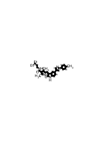 CCN(CC)CCNC(=O)c1c(C)[nH]c(/C=C2\C(=O)Nc3ccc(-c4cnn(-c5ccc(C)cc5)c4)cc32)c1C